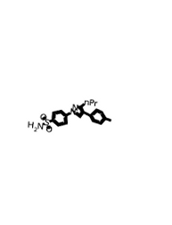 CCCc1nn(-c2ccc(S(N)(=O)=O)cc2)cc1-c1ccc(C)cc1